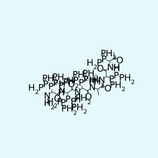 CC(=O)C(NC(=O)C(NC(=O)C(C)NC(=O)C(NC(=O)C(NC(=O)C(N)P(P(P)P)P(P)PP)P(P(P)P)P(P)P)P(PP)P(P)P)P(P)PP)P(P)P